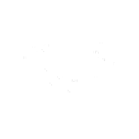 Cc1cc2c(N3CCCc4nc(-c5cccnc5C(=O)NCC#Cc5cc6c(N7CCC(=O)NC7=O)c(F)ccc6o5)ncc43)cc(C3CCOCC3)cc2n(C)c1=O